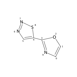 c1coc(-c2cnns2)n1